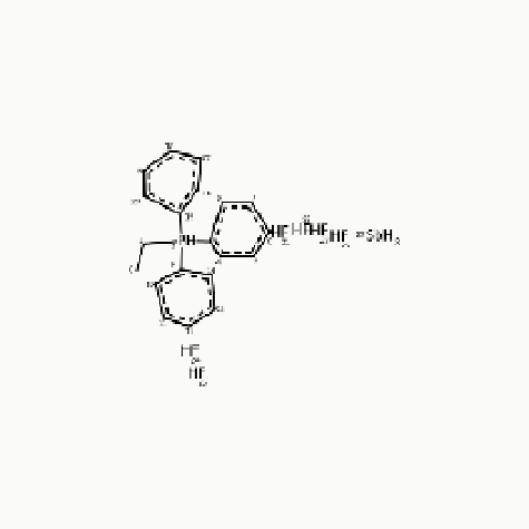 CC[PH](c1ccccc1)(c1ccccc1)c1ccccc1.F.F.F.F.F.F.[SbH3]